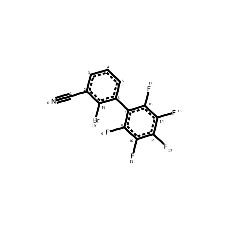 N#Cc1cccc(-c2c(F)c(F)c(F)c(F)c2F)c1Br